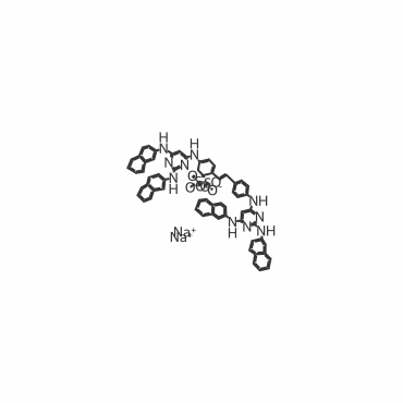 O=S(=O)([O-])C1(S(=O)(=O)[O-])CC(Nc2cc(Nc3ccc4ccccc4c3)nc(Nc3ccc4ccccc4c3)n2)=CC=C1C=Cc1ccc(Nc2cc(Nc3ccc4ccccc4c3)nc(Nc3ccc4ccccc4c3)n2)cc1.[Na+].[Na+]